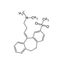 CN(C)CCC=C1c2ccccc2CCc2ccc(S(C)(=O)=O)cc21